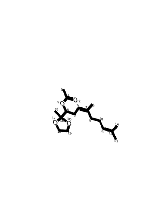 CC(=O)OC(CC=C(C)CCC=C(C)C)C1(C)OCCO1